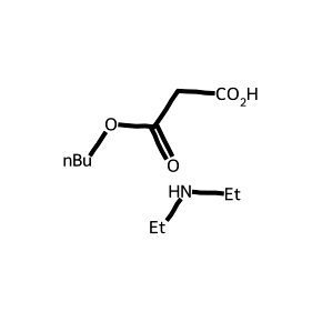 CCCCOC(=O)CC(=O)O.CCNCC